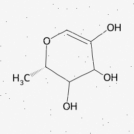 C[C@@H]1OC=C(O)C(O)C1O